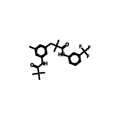 Cc1cc(CC(C)(C)C(=O)Nc2cccc(C(F)(F)F)c2)cc(NC(=O)C(C)(C)C)c1